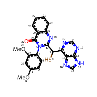 COc1ccc(-n2c(C(S)c3ncnc4[nH]cnc34)nc3ccccc3c2=O)c(OC)c1